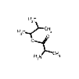 CC(N)C(=O)OC(C)C(C)C